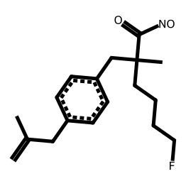 C=C(C)Cc1ccc(CC(C)(CCCCF)C(=O)N=O)cc1